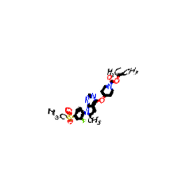 CC(C)OC(=O)N1CCC(Oc2ncnc3c2CC(C)N3c2ccc(S(C)(=O)=O)cc2F)CC1